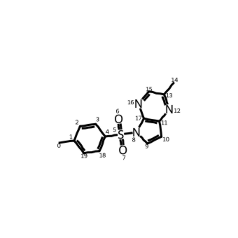 Cc1ccc(S(=O)(=O)n2ccc3nc(C)cnc32)cc1